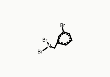 Brc1cccc(CN(Br)Br)c1